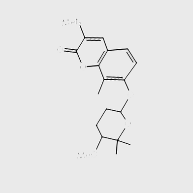 CNc1cc2ccc(OC3CCC(OC)C(C)(C)O3)c(C)c2oc1=O